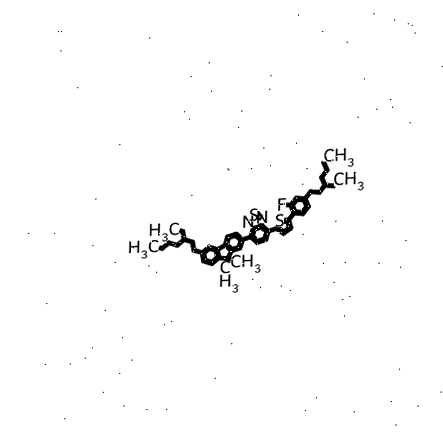 CCCCC(CC)CCc1ccc(-c2ccc(-c3ccc(-c4ccc5c(c4)C(C)(C)c4ccc(CCC(CC)CCCC)cc4-5)c4nsnc34)s2)c(F)c1